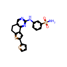 NS(=O)(=O)c1cccc(Nc2ncc3c(n2)-c2cc(-c4cccs4)sc2CC3)c1